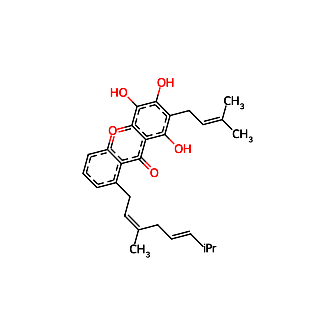 CC(C)=CCc1c(O)c(O)c2oc3cccc(CC=C(C)CC=CC(C)C)c3c(=O)c2c1O